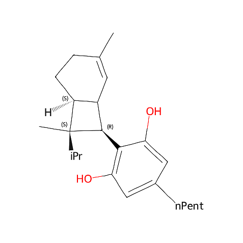 CCCCCc1cc(O)c([C@@H]2C3C=C(C)CC[C@@H]3[C@]2(C)C(C)C)c(O)c1